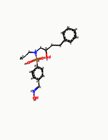 CC(C)CN(C[C@H](O)CCc1ccccc1)S(=O)(=O)c1ccc(C=NO)cc1